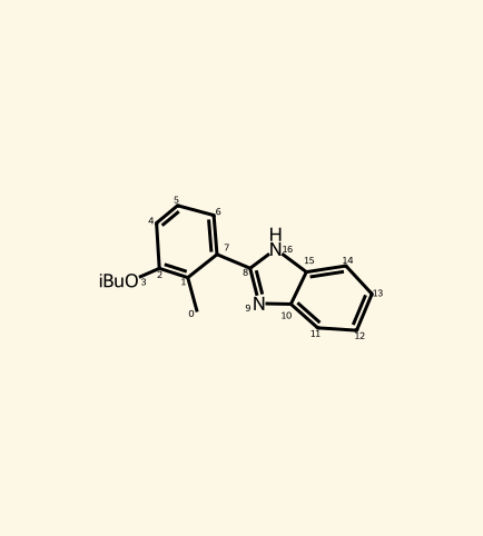 Cc1c(OCC(C)C)cccc1-c1nc2ccccc2[nH]1